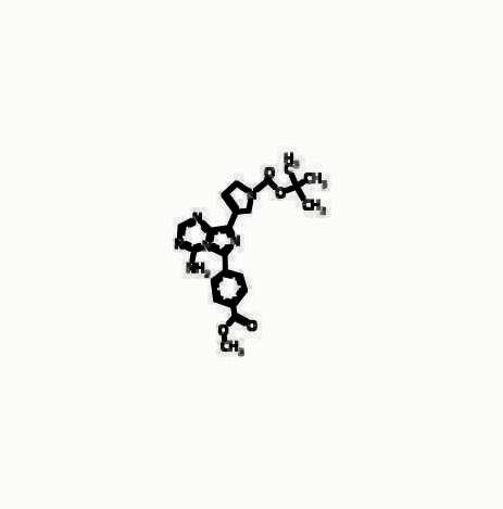 COC(=O)c1ccc(-c2nc(C3=CCN(C(=O)OC(C)(C)C)C3)c3ncnc(N)n23)cc1